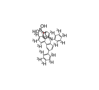 [2H]c1c([2H])c([2H])c(-c2ccc(N(c3ccc(B(O)O)cc3)c3c([2H])c([2H])c([2H])c([2H])c3[2H])c(-c3c([2H])c([2H])c([2H])c([2H])c3[2H])c2)c([2H])c1[2H]